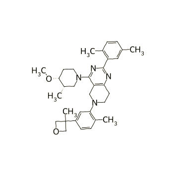 CO[C@@H]1CCN(c2nc(-c3cc(C)ccc3C)nc3c2CN(c2cc(C4(C)COC4)ccc2C)CC3)C[C@@H]1C